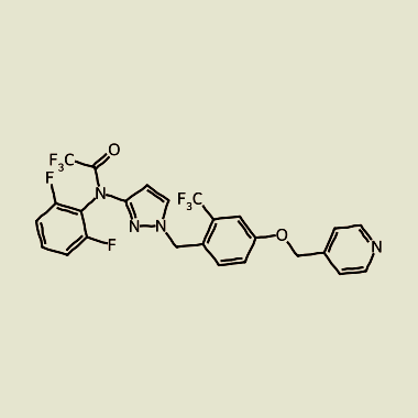 O=C(N(c1ccn(Cc2ccc(OCc3ccncc3)cc2C(F)(F)F)n1)c1c(F)cccc1F)C(F)(F)F